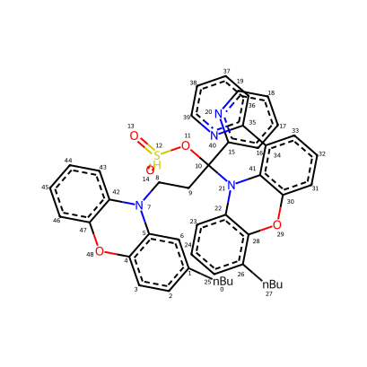 CCCCc1ccc2c(c1)N(CCC(O[SH](=O)=O)(c1ccccn1)N1c3cccc(CCCC)c3Oc3cccc(-c4ccccn4)c31)c1ccccc1O2